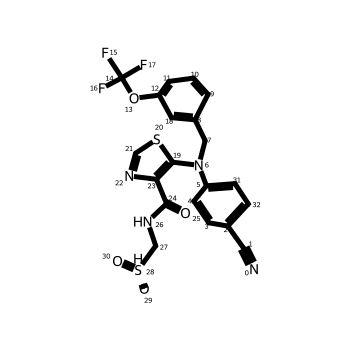 N#Cc1ccc(N(Cc2cccc(OC(F)(F)F)c2)c2scnc2C(=O)NC[SH](=O)=O)cc1